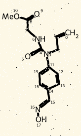 C=CCN(C(=O)NCC(=O)OC)c1ccc(C=NO)cc1